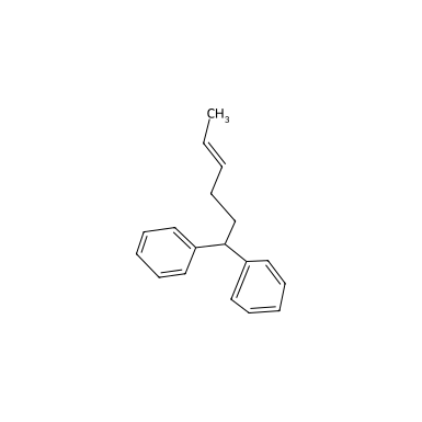 CC=CCCC(c1ccccc1)c1ccccc1